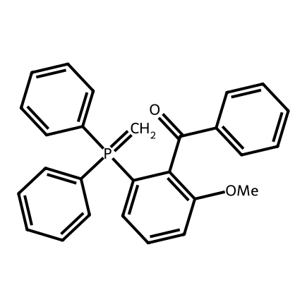 C=P(c1ccccc1)(c1ccccc1)c1cccc(OC)c1C(=O)c1ccccc1